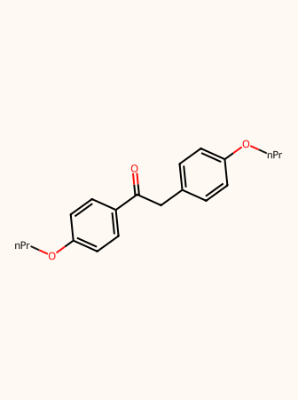 CCCOc1ccc(CC(=O)c2ccc(OCCC)cc2)cc1